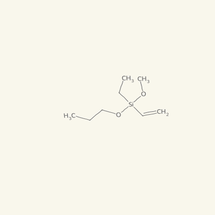 C=C[Si](CC)(OC)OCCC